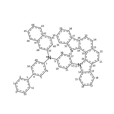 c1ccc(-c2ccc(N(c3ccc(-n4c5ccccc5c5ccc6ccc7c8ccccc8sc7c6c54)cc3)c3ccc4ccccc4c3)cc2)cc1